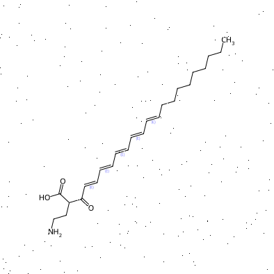 CCCCCCCCC/C=C/C=C/C=C/C=C/C=C/C(=O)C(CCN)C(=O)O